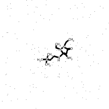 CCn1c(NCC[N+](C)(C)C)c(N)c(=O)n1CC